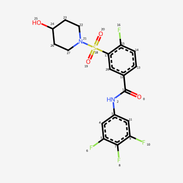 O=C(Nc1cc(F)c(F)c(F)c1)c1ccc(F)c(S(=O)(=O)N2CCC(O)CC2)c1